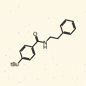 CC(C)(C)c1ccc(C(=O)NCCc2ccccc2)cc1